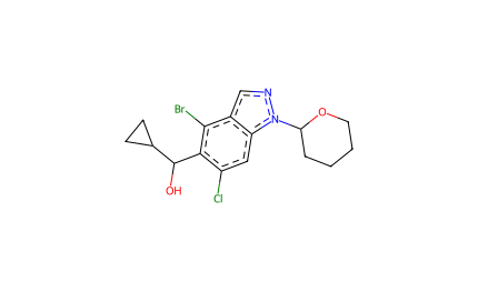 OC(c1c(Cl)cc2c(cnn2C2CCCCO2)c1Br)C1CC1